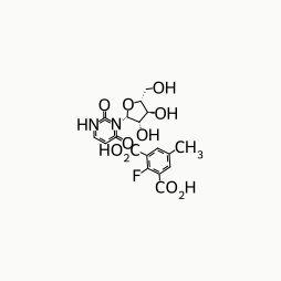 Cc1cc(C(=O)O)c(F)c(C(=O)O)c1.O=c1cc[nH]c(=O)n1[C@@H]1O[C@H](CO)[C@@H](O)[C@@H]1O